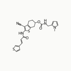 Cn1cccc1CNC(=O)OC1CCc2c(sc(NC(=O)C=Cc3ccsc3)c2C#N)C1